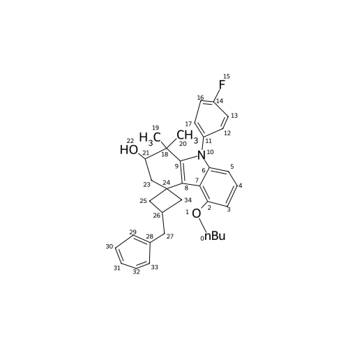 CCCCOc1cccc2c1c1c(n2-c2ccc(F)cc2)C(C)(C)C(O)CC12CC(Cc1ccccc1)C2